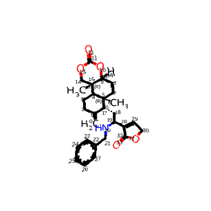 C=C1CCC2[C@](C)(CC[C@H]3OC(=O)OC[C@@]23C)[C@@H]1CC(NCc1ccccc1)C1=CCOC1=O